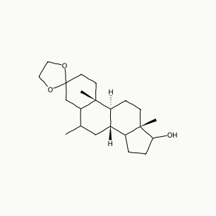 CC1C[C@H]2C3CCC(O)[C@@]3(C)CC[C@@H]2[C@@]2(C)CCC3(CC12)OCCO3